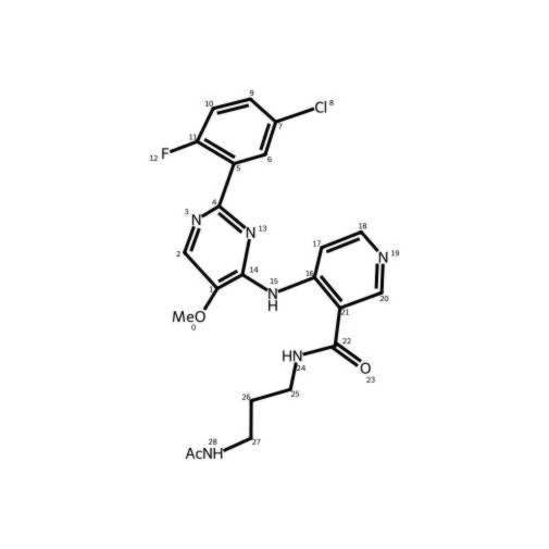 COc1cnc(-c2cc(Cl)ccc2F)nc1Nc1ccncc1C(=O)NCCCNC(C)=O